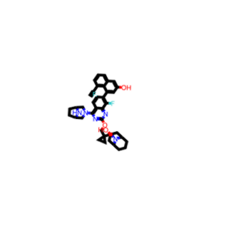 C#Cc1cccc2cc(O)cc(-c3c(F)cc4c(N5CC6CCC(C5)N6)nc(OCC5(CN6C7CCCC6CC(O)C7)CC5)nc4c3F)c12